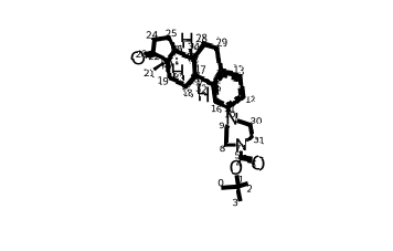 CC(C)(C)OC(=O)N1CCN(c2ccc3c(c2)[C@H]2CC[C@]4(C)C(=O)CC[C@H]4[C@@H]2CC3)CC1